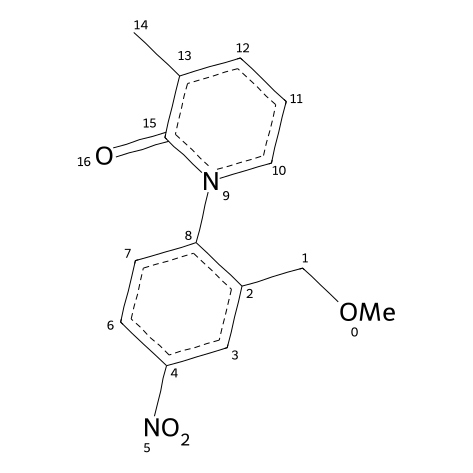 COCc1cc([N+](=O)[O-])ccc1-n1cccc(C)c1=O